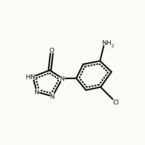 Nc1cc(Cl)cc(-n2nn[nH]c2=O)c1